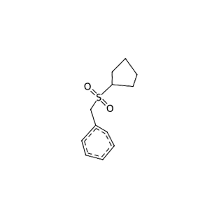 O=S(=O)(Cc1ccccc1)C1CCCC1